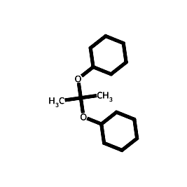 CC(C)(OC1CCCCC1)OC1CCCCC1